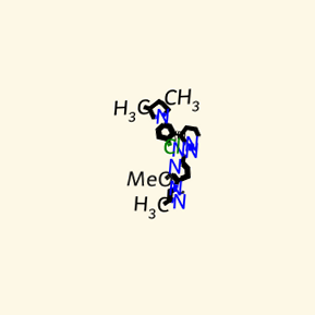 COc1nc(-c2nc3n(n2)CCC[C@@H]3c2cc(N3CC(C)CC(C)C3)ccc2Cl)ccc1-n1cnc(C)c1